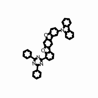 c1ccc(-c2nc(-c3ccccc3)nc(-c3cccc4c3oc3cc5oc6ccc(-n7c8ccccc8c8ccccc87)cc6c5cc34)n2)cc1